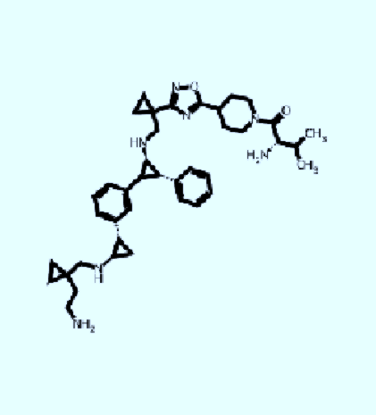 CC(C)[C@H](N)C(=O)N1CCC(c2nc(C3(CN[C@@H]4C(c5cccc([C@@H]6C[C@H]6NCC6(CCN)CC6)c5)[C@H]4c4ccccc4)CC3)no2)CC1